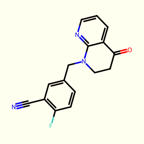 N#Cc1cc(CN2CCC(=O)c3cccnc32)ccc1F